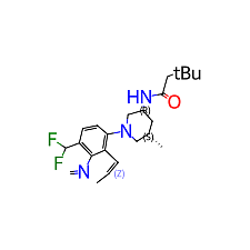 C=Nc1c(C(F)F)ccc(N2C[C@@H](C)C[C@@H](NC(=O)CC(C)(C)C)C2)c1/C=C\C